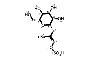 CCCC/C(=N\OS(=O)(=O)O)S[C@@H]1O[C@H](CO)[C@@H](O)[C@H](O)[C@H]1O